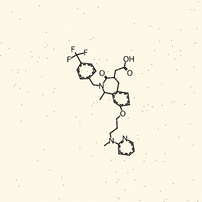 CC1c2cc(OCCCN(C)c3ccccn3)ccc2CC(CC(=O)O)C(=O)N1Cc1ccc(C(F)(F)F)cc1